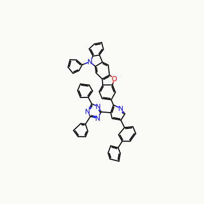 c1ccc(-c2cccc(-c3cnc(-c4ccc5c(c4)oc4cc6c7ccccc7n(-c7ccccc7)c6cc45)c(-c4nc(-c5ccccc5)nc(-c5ccccc5)n4)c3)c2)cc1